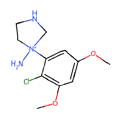 COc1cc(OC)c(Cl)c([N+]2(N)CCNC2)c1